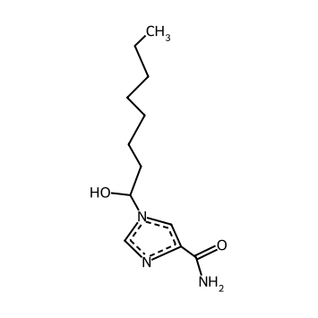 CCCCCCCC(O)n1cnc(C(N)=O)c1